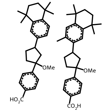 COC1(c2ccc(C(=O)O)cc2)CCC(c2cc3c(cc2C)C(C)(C)CCC3(C)C)C1.COC1(c2ccc(C(=O)O)cc2)CCC(c2ccc3c(c2)C(C)(C)CCC3(C)C)C1